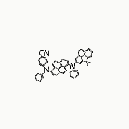 CC1(C)c2cccc3ccc4cc(N(c5ccccc5)c5ccc6ccc7c(N(c8ccccc8)c8ccc(C#N)cc8)ccc8ccc5c6c87)cc1c4c23